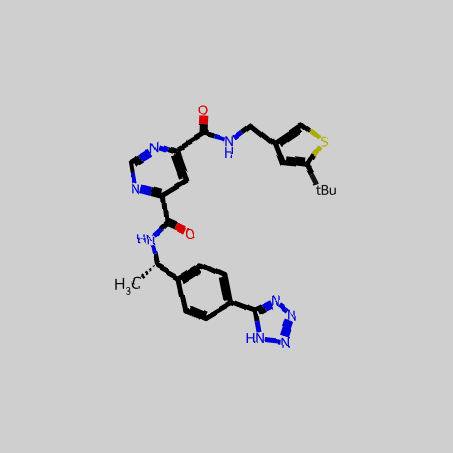 C[C@H](NC(=O)c1cc(C(=O)NCc2csc(C(C)(C)C)c2)ncn1)c1ccc(-c2nnn[nH]2)cc1